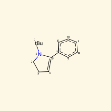 CC(C)(C)N1CCC=C1c1ccccc1